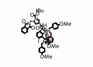 COc1ccc(CN(Cc2ccc(OC)cc2)S(=O)(=O)c2c(S(=O)(=O)N[C@@H]3C[C@@H](CN4C(=O)c5ccccc5C4=O)N(C(=O)OC(C)(C)C)C3)ccc(I)c2-c2nnnn2Cc2ccc(OC)cc2)cc1